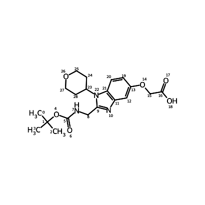 CC(C)(C)OC(=O)NCc1nc2cc(OCC(=O)O)ccc2n1C1CCOCC1